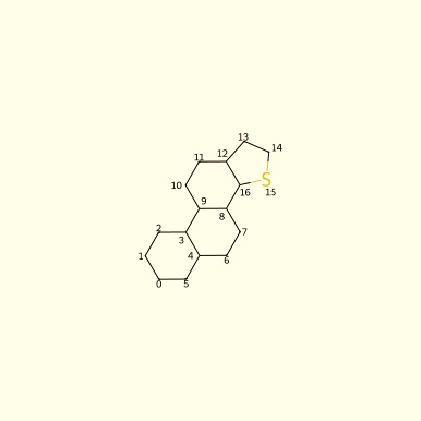 C1CCC2C(C1)CCC1C2CCC2CCSC21